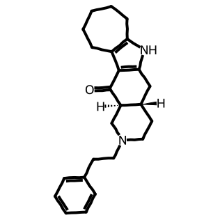 O=C1c2c([nH]c3c2CCCCC3)C[C@@H]2CCN(CCc3ccccc3)C[C@@H]12